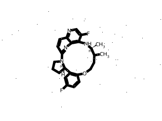 CC1CCOc2ccc(F)cc2[C@H]2CCCN2c2ccc3ncc(F)c(c3n2)N[C@@H]1C